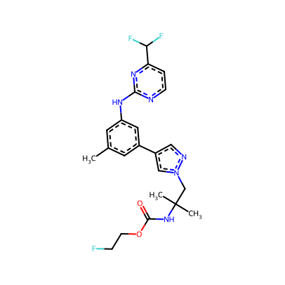 Cc1cc(Nc2nccc(C(F)F)n2)cc(-c2cnn(CC(C)(C)NC(=O)OCCF)c2)c1